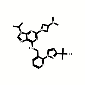 CC(C)n1cnc2c(NCc3cccnc3-n3ccc(C(C)(C)O)n3)nc(N3CC(N(C)C)C3)nc21